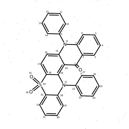 O=c1c2ccccc2n(-c2ccccc2)c2ccc3c(c12)N(c1ccccc1)c1ccccc1S3(=O)=O